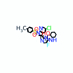 Cc1ccc(S(=O)(=O)n2cc(-c3ncc(F)c(NC4CCCCC4(C)O)n3)c3cc(Cl)cnc32)cc1